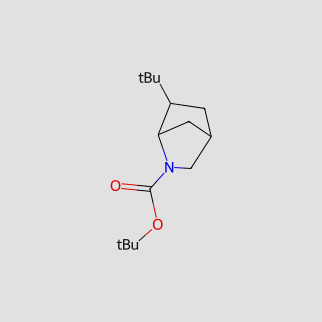 CC(C)(C)OC(=O)N1CC2CC1C(C(C)(C)C)C2